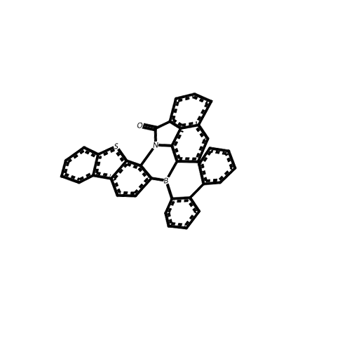 O=C1c2cccc3ccc4c(c23)N1c1c(ccc2c1sc1ccccc12)B4c1ccccc1-c1ccccc1